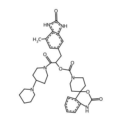 Cc1cc(CC(OC(=O)N2CCC3(CC2)OC(=O)Nc2ccccc23)C(=O)N2CCC(N3CCCCC3)CC2)cc2[nH]c(=O)[nH]c12